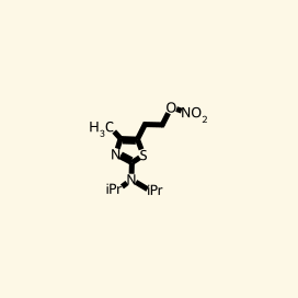 Cc1nc(N(C(C)C)C(C)C)sc1CCO[N+](=O)[O-]